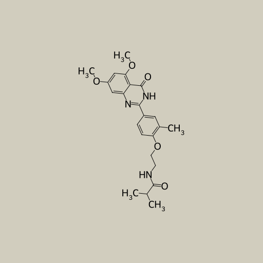 COc1cc(OC)c2c(=O)[nH]c(-c3ccc(OCCNC(=O)C(C)C)c(C)c3)nc2c1